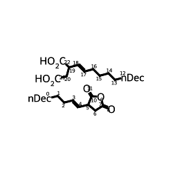 CCCCCCCCCCCCC=CC1CC(=O)OC1=O.CCCCCCCCCCCCCCC=CC(CC(=O)O)C(=O)O